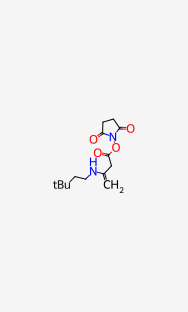 C=C(CC(=O)ON1C(=O)CCC1=O)NCCC(C)(C)C